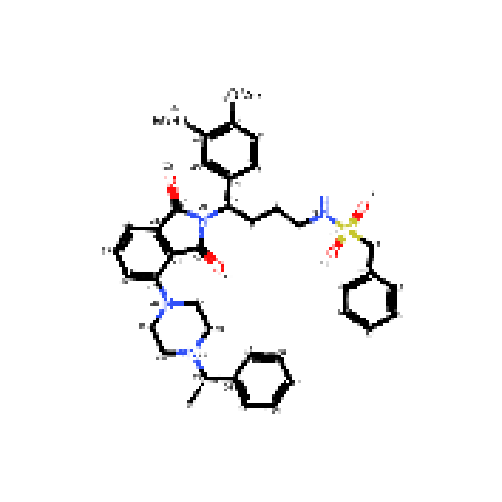 COc1ccc(C(CCCNS(=O)(=O)Cc2ccccc2)N2C(=O)c3cccc(N4CCN([C@H](C)c5ccccc5)CC4)c3C2=O)cc1OC